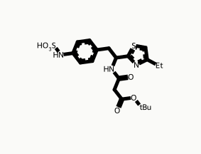 CCc1csc(C(Cc2ccc(NS(=O)(=O)O)cc2)NC(=O)CC(=O)OC(C)(C)C)n1